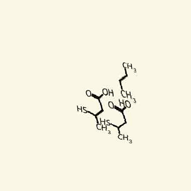 CC(S)CC(=O)O.CC(S)CC(=O)O.CCCC